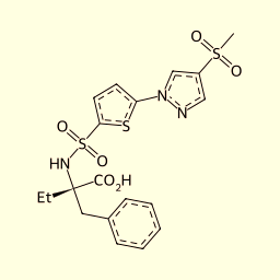 CC[C@@](Cc1ccccc1)(NS(=O)(=O)c1ccc(-n2cc(S(C)(=O)=O)cn2)s1)C(=O)O